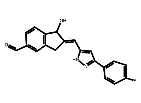 O=Cc1ccc2c(c1)C/C(=C\c1cc(-c3ccc(F)cc3)n[nH]1)C2O